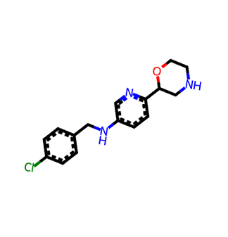 Clc1ccc(CNc2ccc(C3CNCCO3)nc2)cc1